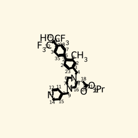 Cc1cc(CN2CCN(Cc3ccncc3)C[C@H]2CC(=O)OC(C)C)ccc1-c1ccc(C(O)(C(F)(F)F)C(F)(F)F)cc1